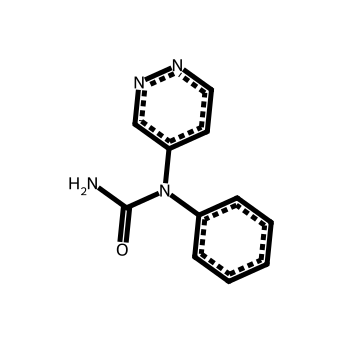 NC(=O)N(c1ccccc1)c1ccnnc1